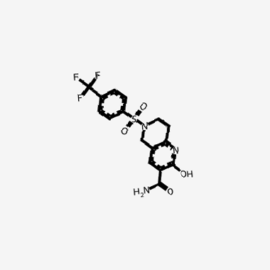 NC(=O)c1cc2c(nc1O)CCN(S(=O)(=O)c1ccc(C(F)(F)F)cc1)C2